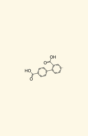 O=C(O)c1ccc(-c2cc[c]cc2C(=O)O)cc1